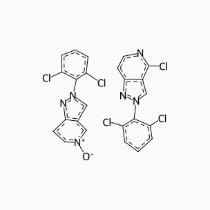 Clc1cccc(Cl)c1-n1cc2c(Cl)nccc2n1.[O-][n+]1ccc2nn(-c3c(Cl)cccc3Cl)cc2c1